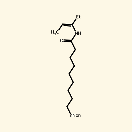 [CH2]CC(=CC)NC(=O)CCCCCCCCCCCCCCCCC